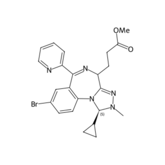 COC(=O)CCC1N=C(c2ccccn2)c2cc(Br)ccc2N2C1=NN(C)[C@H]2C1CC1